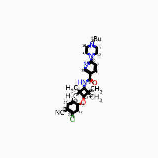 CC1(C)C(NC(=O)c2ccc(N3CCN(C(C)(C)C)CC3)nc2)C(C)(C)C1Oc1ccc(C#N)c(Cl)c1